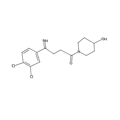 N=C(CCC(=O)N1CCC(O)CC1)c1ccc(Cl)c(Cl)c1